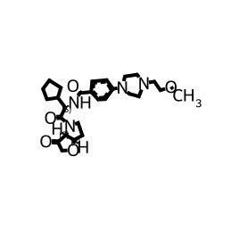 COCCN1CCN(c2ccc(C(=O)N[C@H](C(=O)N3CC[C@H]4OCC(=O)[C@H]43)C3CCCC3)cc2)CC1